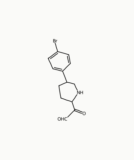 O=CC(=O)C1CCC(c2ccc(Br)cc2)CN1